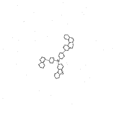 c1ccc2c(-c3ccc(N(c4ccc(-c5ccc6c(ccc7ccc8ccccc8c76)c5)cc4)c4ccc5sc6ccccc6c5c4)cc3)cccc2c1